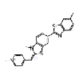 Cc1ccc2nc(-c3ccc4c(c3)S/C(=C/c3cc[n+](C)cc3)N4C)sc2c1